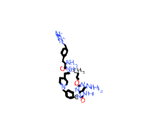 CCCCOc1nc(N)c2[nH]c(=O)n(Cc3ccc(CN4CCC(CCNC(=O)[C@@H](N)Cc5ccc(CN=[N+]=[N-])cc5)CC4)cc3)c2n1